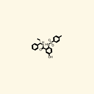 CC[C@H](NC(=O)c1cc(O)ccc1NS(=O)(=O)c1ccc(C)cc1)c1ccccc1